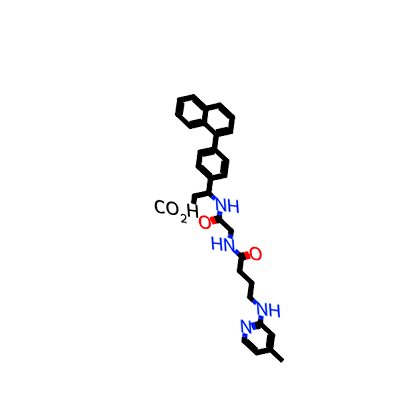 Cc1ccnc(NCCCC(=O)NCC(=O)NC(CC(=O)O)c2ccc(-c3cccc4ccccc34)cc2)c1